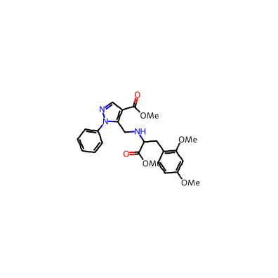 COC(=O)c1cnn(-c2ccccc2)c1CNC(Cc1ccc(OC)cc1OC)C(=O)OC